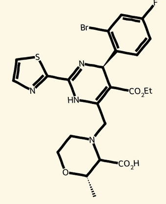 CCOC(=O)C1=C(CN2CCO[C@@H](C)C2C(=O)O)NC(c2nccs2)=N[C@H]1c1ccc(F)cc1Br